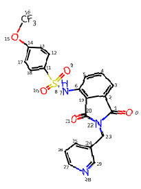 O=C1c2cccc(NS(=O)(=O)c3ccc(OC(F)(F)F)cc3)c2C(=O)N1Cc1cccnc1